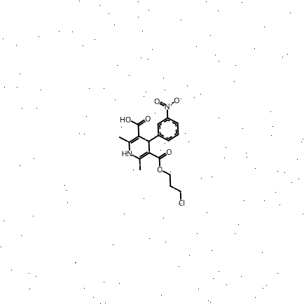 CC1=C(C(=O)O)C(c2cccc([N+](=O)[O-])c2)C(C(=O)OCCCCl)=C(C)N1